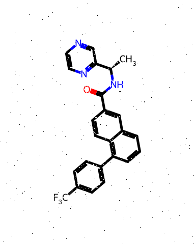 C[C@@H](NC(=O)c1ccc2c(-c3ccc(C(F)(F)F)cc3)cccc2c1)c1cnccn1